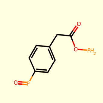 O=Pc1ccc(CC(=O)OP)cc1